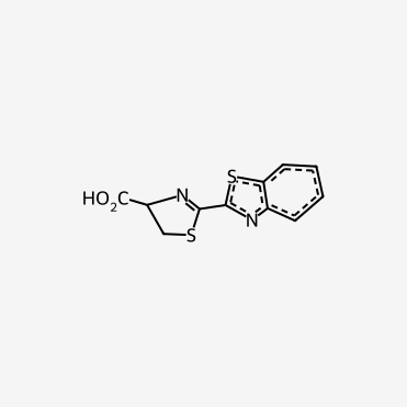 O=C(O)C1CSC(c2nc3ccccc3s2)=N1